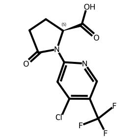 O=C(O)[C@@H]1CCC(=O)N1c1cc(Cl)c(C(F)(F)F)cn1